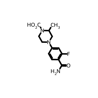 CC1CN(c2ccc(C(N)=O)c(F)c2)CCN1C(=O)O